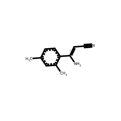 Cc1ccc(/C(N)=C/C#N)c(C)c1